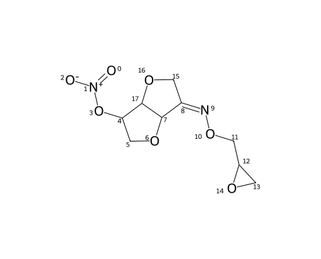 O=[N+]([O-])OC1COC2C(=NOCC3CO3)COC12